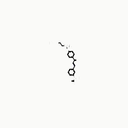 O=C(O)CCNS(=O)(=O)c1ccc(C(=O)/C=C/c2cccc(NC(=O)C(F)(F)F)c2)cc1